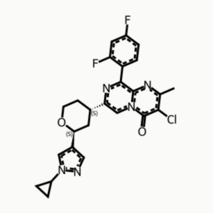 Cc1nc2c(-c3ccc(F)cc3F)nc([C@H]3CCO[C@H](c4cnn(C5CC5)c4)C3)cn2c(=O)c1Cl